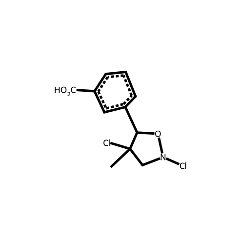 CC1(Cl)CN(Cl)OC1c1cccc(C(=O)O)c1